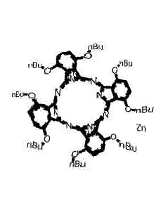 CCCCOc1ccc(OCCCC)c2c1-c1nc-2nc2[nH]c(nc3nc(nc4[nH]c(n1)c1c(OCCCC)ccc(OCCCC)c41)-c1c(OCCCC)ccc(OCCCC)c1-3)c1c(OCCCC)ccc(OCCCC)c21.[Zn]